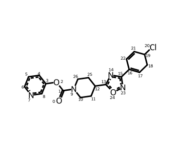 O=C(Oc1cccnc1)N1CCC(c2nc(C3=CCC(Cl)C=C3)no2)CC1